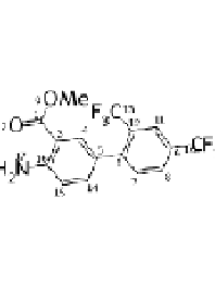 COC(=O)c1cc(-c2ccc(C(F)(F)F)cc2C(F)(F)F)ccc1N